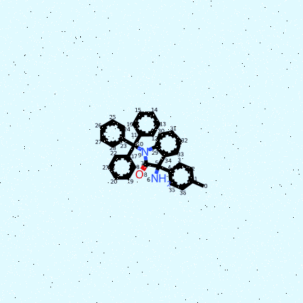 Cc1ccc(C2(N)C(=O)N(C(c3ccccc3)(c3ccccc3)c3ccccc3)c3ccccc32)cc1